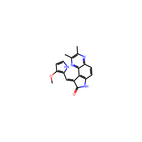 COc1cc[nH]c1/C=C1/C(=O)Nc2ccc3nc(C)c(C)nc3c21